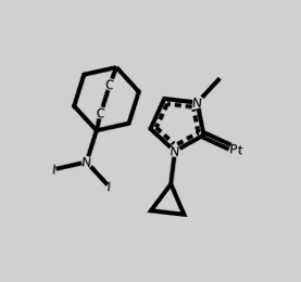 Cn1ccn(C2CC2)[c]1=[Pt].IN(I)C12CCC(CC1)CC2